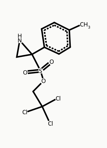 Cc1ccc(C2(S(=O)(=O)OCC(Cl)(Cl)Cl)CN2)cc1